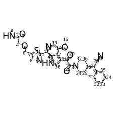 CNC(=O)COCc1cnc(-c2ncc(OC)c3c(C(=O)C(=O)N4CCC(=C(C#N)c5ccccc5)CC4)c[nH]c23)s1